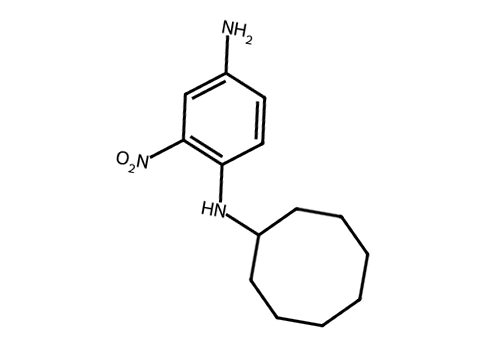 Nc1ccc(NC2CCCCCCC2)c([N+](=O)[O-])c1